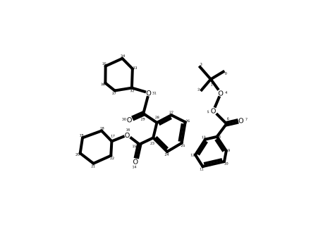 CC(C)(C)OOC(=O)c1ccccc1.O=C(OC1CCCCC1)c1ccccc1C(=O)OC1CCCCC1